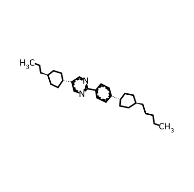 CCCCC[C@H]1CC[C@H](c2ccc(-c3ncc([C@H]4CC[C@H](CCC)CC4)cn3)cc2)CC1